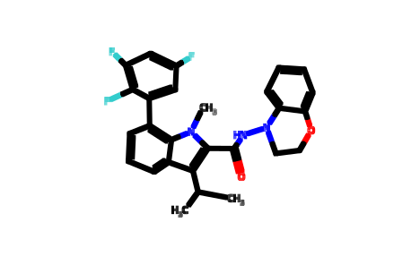 CC(C)c1c(C(=O)NN2CCOc3ccccc32)n(C)c2c(-c3cc(F)cc(F)c3F)cccc12